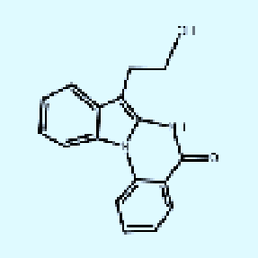 O=c1[nH]c2c(CCO)c3ccccc3n2c2ccccc12